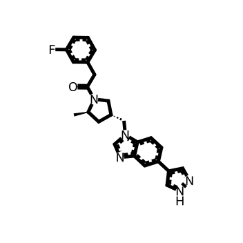 C[C@@H]1C[C@@H](Cn2cnc3cc(-c4cn[nH]c4)ccc32)CN1C(=O)Cc1cccc(F)c1